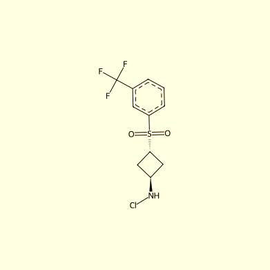 O=S(=O)(c1cccc(C(F)(F)F)c1)[C@H]1C[C@H](NCl)C1